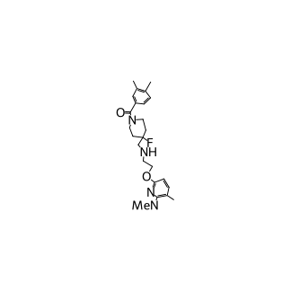 CNc1nc(OCCNCC2(F)CCN(C(=O)c3ccc(C)c(C)c3)CC2)ccc1C